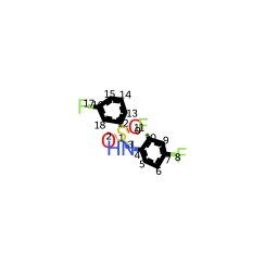 O=S(=O)(Nc1ccc(F)cc1F)c1cccc(F)c1